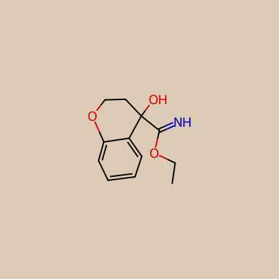 CCOC(=N)C1(O)CCOc2ccccc21